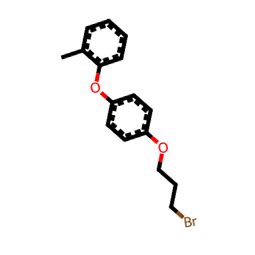 Cc1ccccc1Oc1ccc(OCCCBr)cc1